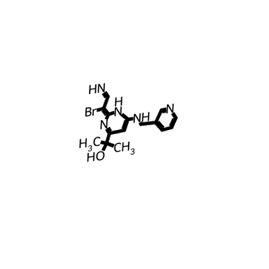 CC(C)(O)C1=N/C(=C(\Br)C=N)NC(NCc2cccnc2)=C1